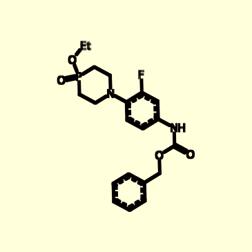 CCOP1(=O)CCN(c2ccc(NC(=O)OCc3ccccc3)cc2F)CC1